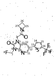 O=C(Cn1c(=O)n(CF)c2ncc(-c3ccc(C(F)(F)F)s3)cc21)N1CCC1